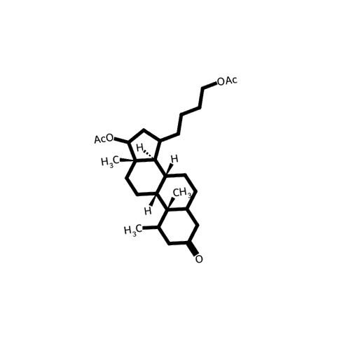 CC(=O)OCCCCC1CC(OC(C)=O)[C@@]2(C)CC[C@@H]3[C@@H](CCC4CC(=O)CC(C)[C@@]43C)[C@H]12